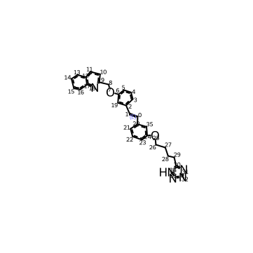 C(=C\c1cccc(OCc2ccc3ccccc3n2)c1)/c1cccc(OCCCCc2nnn[nH]2)c1